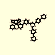 c1ccc(-c2ccc(-c3cc(-c4cccc(-c5ccc6c(c5)C5(c7ccccc7O6)c6ccccc6-c6ccccc65)c4)nc(-c4ccc(-c5ccccc5)cc4)n3)cc2)cc1